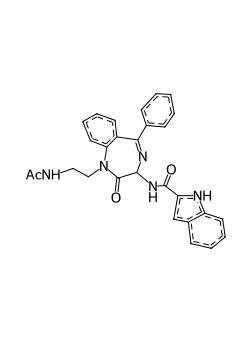 CC(=O)NCCN1C(=O)C(NC(=O)c2cc3ccccc3[nH]2)N=C(c2ccccc2)c2ccccc21